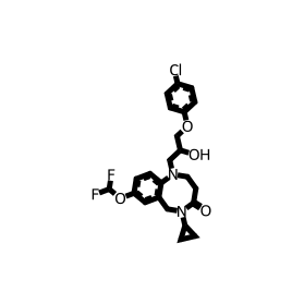 O=C1CCN(CC(O)COc2ccc(Cl)cc2)c2ccc(OC(F)F)cc2CN1C1CC1